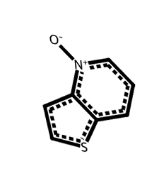 [O-][n+]1cccc2sccc21